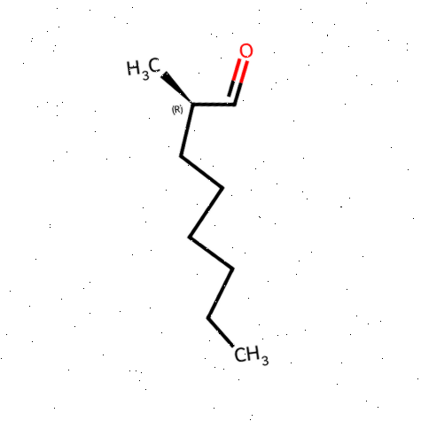 CCCCCC[C@@H](C)C=O